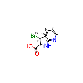 O=C(O)c1[nH]c2ncccc2c1Br